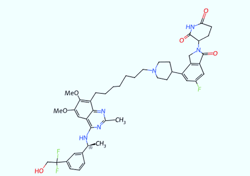 COc1cc2c(N[C@@H](C)c3cccc(C(F)(F)CO)c3)nc(C)nc2c(CCCCCCCN2CCC(c3cc(F)cc4c3CN(C3CCC(=O)NC3=O)C4=O)CC2)c1OC